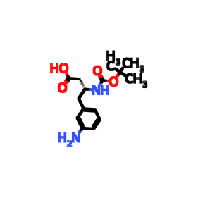 CC(C)(C)OC(=O)N[C@@H](CC(=O)O)Cc1cccc(N)c1